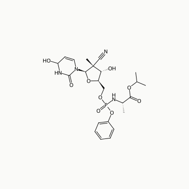 CC(C)OC(=O)[C@H](C)NP(=O)(OC[C@H]1O[C@@H](N2C=CC(O)NC2=O)[C@](C)(C#N)[C@@H]1O)Oc1ccccc1